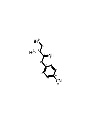 CC(C)C[C@@H](O)C(=N)Cc1ccc(C#N)cc1